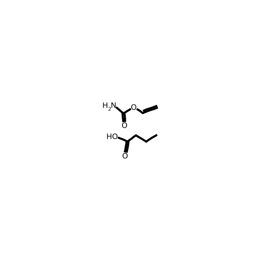 C=COC(N)=O.CCCC(=O)O